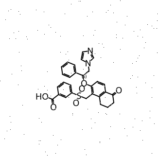 O=C(O)c1cccc(S(=O)(=O)Cc2c(O[C@H](Cn3ccnc3)c3ccccc3)ccc3c2CCCC3=O)c1